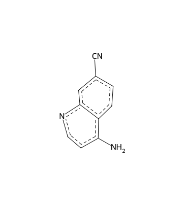 N#Cc1ccc2c(N)ccnc2c1